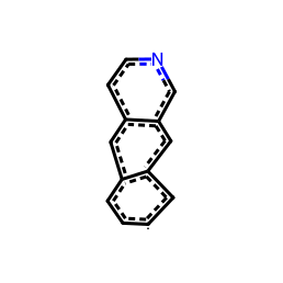 [c]1ccc2cc3ccncc3cc2c1